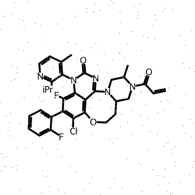 C=CC(=O)N1CC2CCOc3c(Cl)c(-c4ccccc4F)c(F)c4c3c(nc(=O)n4-c3c(C)ccnc3C(C)C)N2CC1C